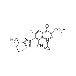 Cc1c(-c2cc3c(s2)C(N)CCC3)c(F)cc2c(=O)c(C(=O)O)cn(C3CC3)c12